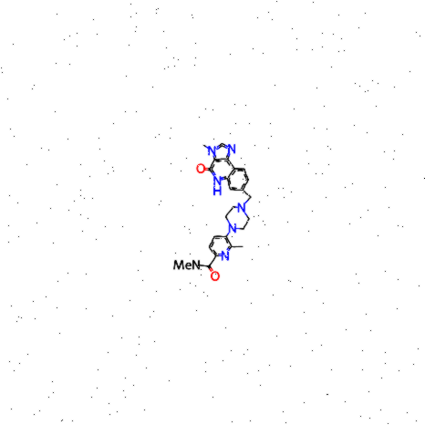 CNC(=O)c1ccc(N2CCN(Cc3ccc4c(c3)[nH]c(=O)c3c4ncn3C)CC2)c(C)n1